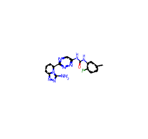 Cc1ccc(F)c(NC(=O)Nc2cnc(-c3cccc4nnc(N)n34)nn2)c1